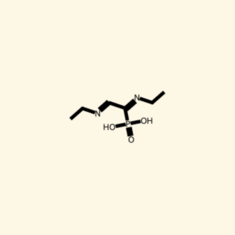 CCN=CC(=NCC)P(=O)(O)O